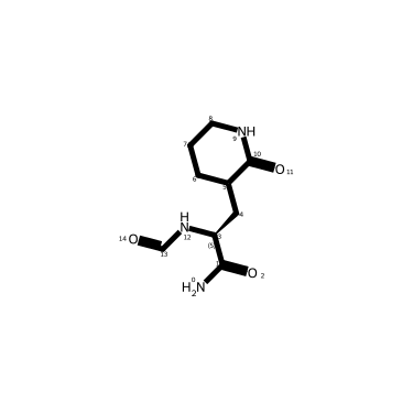 NC(=O)[C@H](CC1CCCNC1=O)NC=O